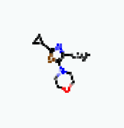 O=C(O)c1nc(C2CC2)sc1N1CCOCC1